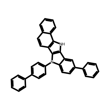 c1ccc(-c2ccc(-n3c4ccc(-c5ccccc5)cc4c4[nH]c5c6ccccc6ccc5c43)cc2)cc1